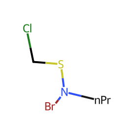 CCCN(Br)SCCl